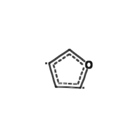 [c]1c[c]oc1